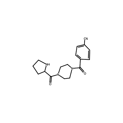 N#Cc1ccc(C(=O)N2CCN(C(=O)C3CCCN3)CC2)cc1